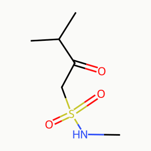 CNS(=O)(=O)CC(=O)C(C)C